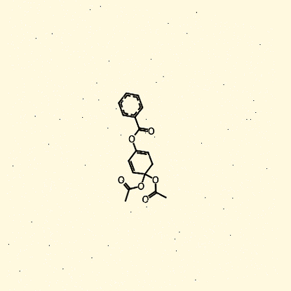 CC(=O)OC1(OC(C)=O)C=CC(OC(=O)c2ccccc2)=CC1